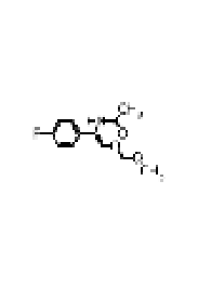 COCOC=C(NC(C)=O)c1ccc(F)cc1